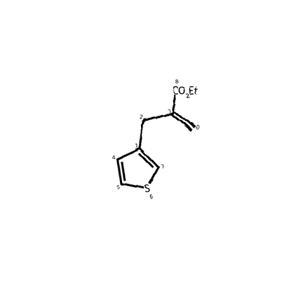 C=C(Cc1ccsc1)C(=O)OCC